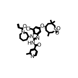 C=CC(=O)N1CCCC[C@@H](n2c(NC(=O)c3ccnc(C)c3)nc3cc(O[C@H]4CC(C)CS(=O)(=O)CC(C)(C)C4)cc(Cl)c32)C1